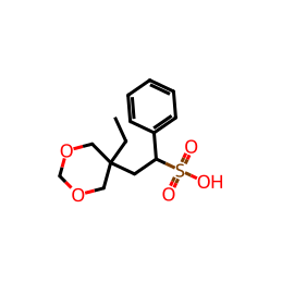 CCC1(CC(c2ccccc2)S(=O)(=O)O)COCOC1